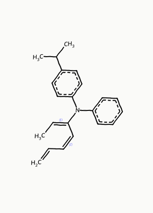 C=C/C=C\C(=C/C)N(c1ccccc1)c1ccc(C(C)C)cc1